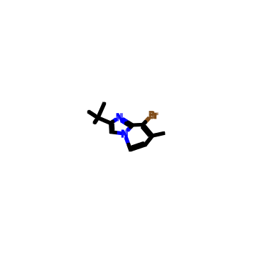 Cc1ccn2cc(C(C)(C)C)nc2c1Br